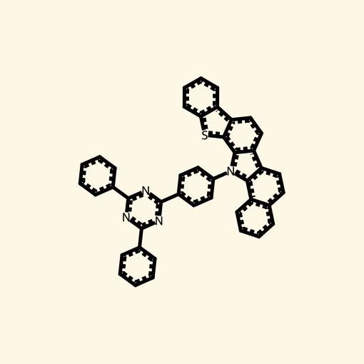 c1ccc(-c2nc(-c3ccccc3)nc(-c3ccc(-n4c5c6ccccc6ccc5c5ccc6c7ccccc7sc6c54)cc3)n2)cc1